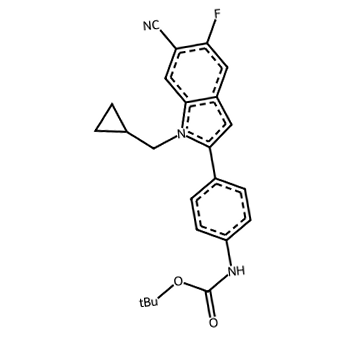 CC(C)(C)OC(=O)Nc1ccc(-c2cc3cc(F)c(C#N)cc3n2CC2CC2)cc1